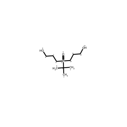 CC(C)(C)P(=O)(CCCO)CCCO